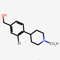 CCc1cc(CO)ccc1C1CCN(C(=O)O)CC1